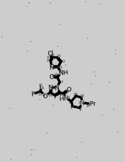 CC(C)N1CCC(NC(=O)c2cc(OC(F)F)nn2CC(=O)Nc2ccc(Cl)cn2)CC1